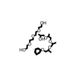 CC(O)COC(C)COC(C)COC(C)COc1ccccc1.OCCOCCOCCOCCO